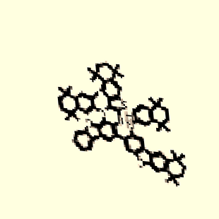 Cc1cc2c(cc1N1c3c(sc4cc5c(cc34)C(C)(C)CCC5(C)C)Bc3c(-c4cc5oc6cc7c(cc6c5cc4Nc4ccc5c(c4)C(C)(C)CCC5(C)C)C(C)(C)CCC7(C)C)cc4c(oc5ccccc54)c31)C(C)(C)CCC2(C)C